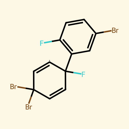 Fc1ccc(Br)cc1C1(F)[C]=CC(Br)(Br)C=C1